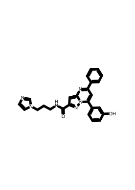 O=C(NCCCn1ccnc1)c1cc2nc(-c3ccccc3)cc(-c3cccc(O)c3)n2n1